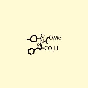 COCC(C)N(C(=O)C1CCC(C)CC1)c1sc(-c2ccccc2)cc1C(=O)O